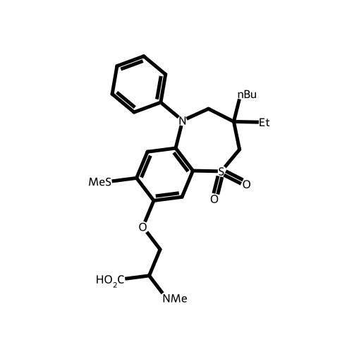 CCCCC1(CC)CN(c2ccccc2)c2cc(SC)c(OCC(NC)C(=O)O)cc2S(=O)(=O)C1